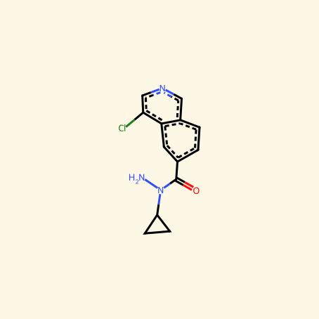 NN(C(=O)c1ccc2cncc(Cl)c2c1)C1CC1